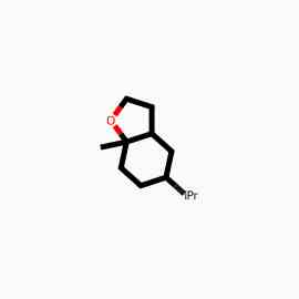 CC(C)C1CCC2(C)OCCC2C1